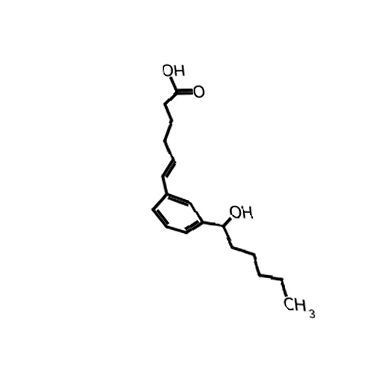 CCCCCC(O)c1cccc(/C=C/CCCC(=O)O)c1